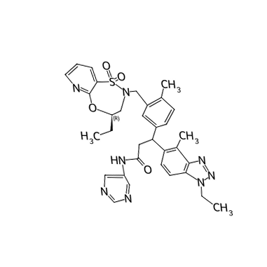 CC[C@@H]1CN(Cc2cc(C(CC(=O)Nc3cncnc3)c3ccc4c(nnn4CC)c3C)ccc2C)S(=O)(=O)c2cccnc2O1